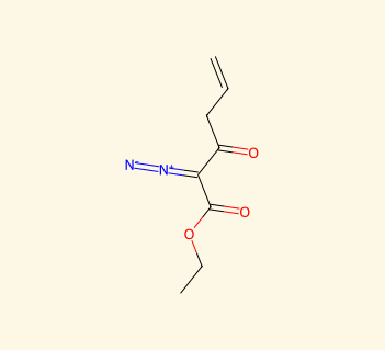 C=CCC(=O)C(=[N+]=[N-])C(=O)OCC